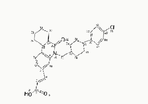 O=C(O)C=Cc1cccc(N(CC2CCC(c3ccc(Cl)cc3)CC2)C(=O)C2CCCCC2)c1